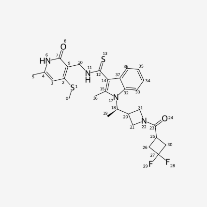 CSc1cc(C)[nH]c(=O)c1CNC(=S)c1c(C)n([C@H](C)C2CN(C(=O)C3CC(F)(F)C3)C2)c2ccccc12